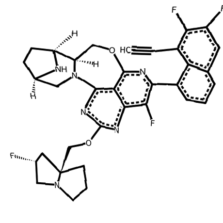 C#Cc1c(F)c(F)cc2cccc(-c3nc4c5c(nc(OC[C@@]67CCCN6C[C@H](F)C7)nc5c3F)N3C[C@H]5CC[C@H](N5)[C@H]3CO4)c12